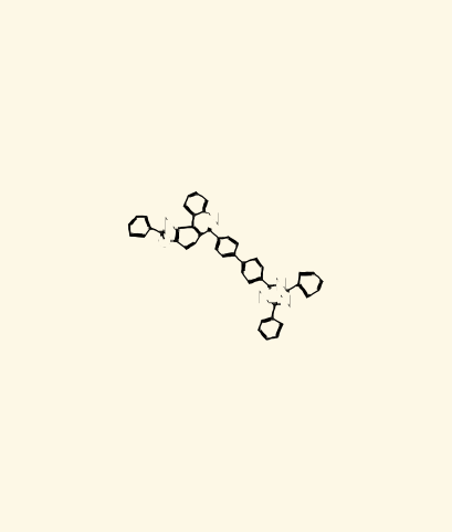 c1ccc(-c2nc(-c3ccccc3)nc(-c3ccc(-c4ccc(-c5nc6ccccc6c6c5ccc5oc(-c7ccccc7)nc56)cc4)cc3)n2)cc1